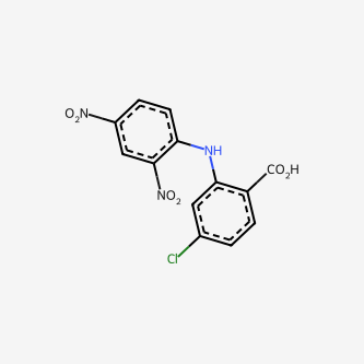 O=C(O)c1ccc(Cl)cc1Nc1ccc([N+](=O)[O-])cc1[N+](=O)[O-]